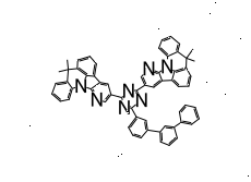 CC1(C)c2ccccc2-n2c3ncc(-c4nc(-c5cccc(-c6cccc(-c7ccccc7)c6)c5)nc(-c5cnc6c(c5)c5cccc7c5n6-c5ccccc5C7(C)C)n4)cc3c3cccc1c32